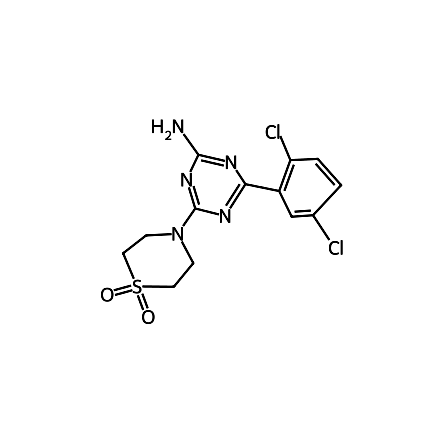 Nc1nc(-c2cc(Cl)ccc2Cl)nc(N2CCS(=O)(=O)CC2)n1